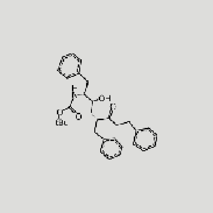 CC(C)(C)OC(=O)N[C@@H](Cc1ccccc1)[C@@H](O)C[C@@H](Cc1ccccc1)C(=O)CCc1ccccc1